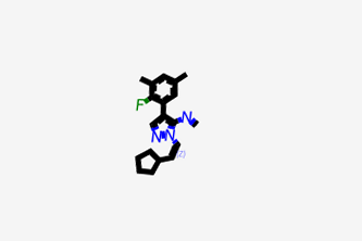 C=Nc1c(-c2cc(C)cc(C)c2F)cnn1/C=C\C1CCCC1